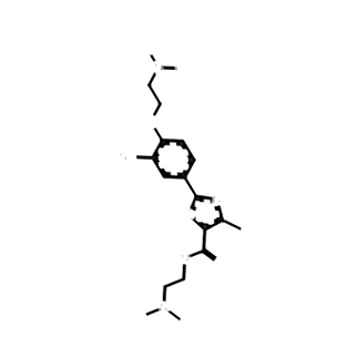 CCN(CC)CCOc1ccc(-c2nc(C)c(C(=O)NCCN(C)C)s2)cc1C#N